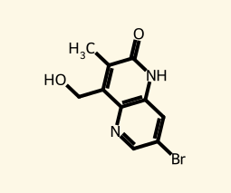 Cc1c(CO)c2ncc(Br)cc2[nH]c1=O